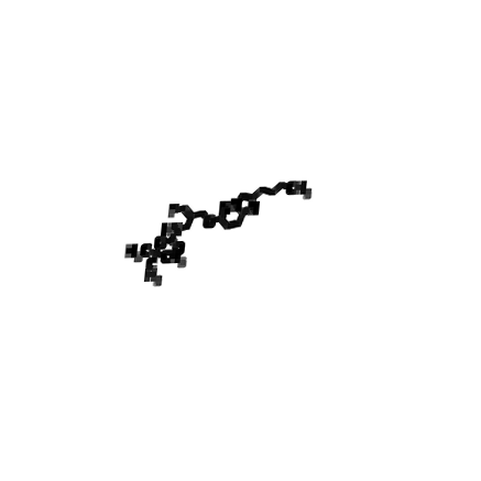 CCCCc1cn2nc(OC/C(=C/F)CNC(=O)OC(C)(C)C)ccc2n1